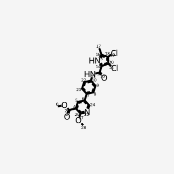 COC(=O)c1cc(-c2ccc(NC(=O)c3[nH]c(C)c(Cl)c3Cl)cc2)cnc1OC